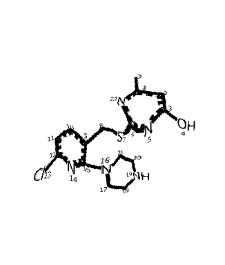 Cc1cc(O)nc(SCc2ccc(Cl)nc2N2CCNCC2)n1